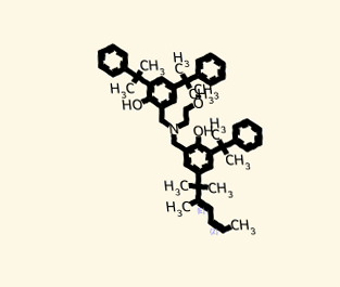 C/C=C\C=C(/C)C(C)(C)c1cc(CN(CCOC)Cc2cc(C(C)(C)c3ccccc3)cc(C(C)(C)c3ccccc3)c2O)c(O)c(C(C)(C)c2ccccc2)c1